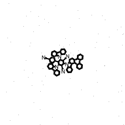 N#Cc1ccc(-c2c(-n3c4ccccc4c4ccccc43)c(C#N)c(-n3c4ccccc4c4c5c6ccccc6c6ccccc6c5ccc43)c(C#N)c2-n2c3ccccc3c3ccccc32)cc1